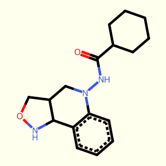 O=C(NN1CC2CONC2c2ccccc21)C1CCCCC1